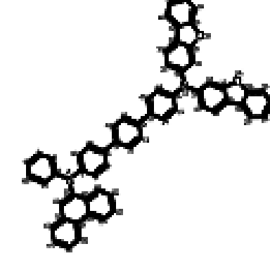 c1ccc(N(c2ccc(-c3ccc(-c4ccc(N(c5ccc6c(c5)oc5ccccc56)c5ccc6c(c5)oc5ccccc56)cc4)cc3)cc2)c2cc3ccccc3c3ccccc23)cc1